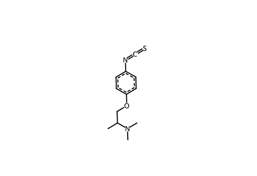 CC(COc1ccc(N=C=S)cc1)N(C)C